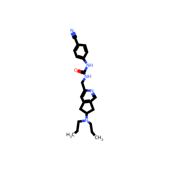 CCCN(CCC)C1Cc2cnc(CNC(=O)Nc3ccc(C#N)cc3)cc2C1